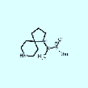 CN([C@@H]1CCCC12CCNCC2)[S@+]([O-])C(C)(C)C